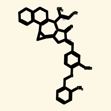 CCC/C=C(\C)C1C2=C(C3=C(CCC=C3)CC2)C2CC2=C2C/C(=C\c3ccc(OCc4ccccc4C)c(OC)c3)C(=O)N21